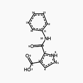 O=C(O)c1cn[nH]c1C(=O)Nc1ccccc1